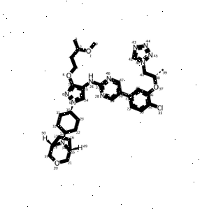 COC(C)CCOc1nn([C@H]2CC[C@H](N3[C@@H]4CC[C@H]3COC4)CC2)cc1Nc1ncc(-c2ccc(Cl)c(O[C@@H](C)Cn3cnnn3)c2)cn1